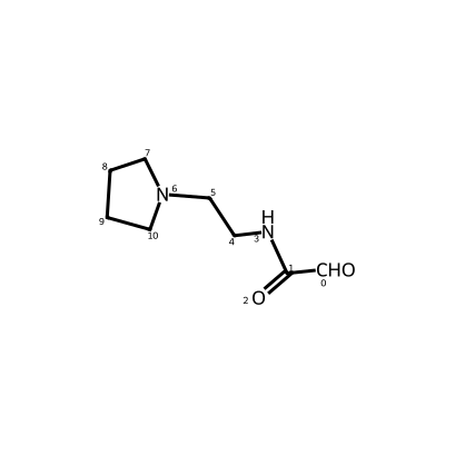 O=CC(=O)NCCN1CCCC1